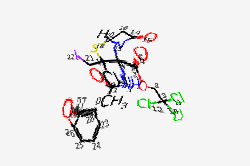 CC(=O)NC1(C(=O)OCC(Cl)(Cl)Cl)N2C(=O)C[C@H]2SC1(C)CI.c1ccc2c(c1)O2